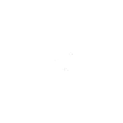 CCOC(OCC)[SiH]1C=CC=C1